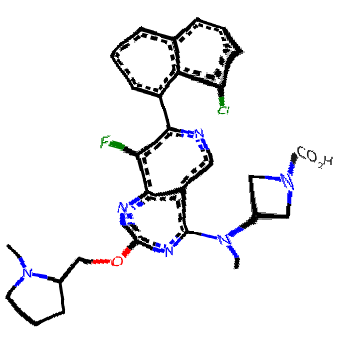 CN1CCCC1COc1nc(N(C)C2CN(C(=O)O)C2)c2cnc(-c3cccc4cccc(Cl)c34)c(F)c2n1